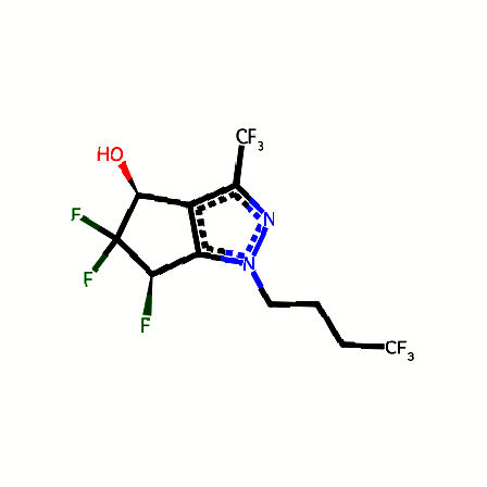 O[C@H]1c2c(C(F)(F)F)nn(CCCC(F)(F)F)c2[C@@H](F)C1(F)F